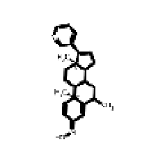 CC1CC2C(CC[C@]3(C)C(c4cccnc4)=CCC23)[C@@]2(C)C=CC(=NO)C=C12